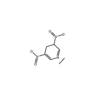 CC.O=[N+]([O-])[C]1C=NC=C([N+](=O)[O-])C1